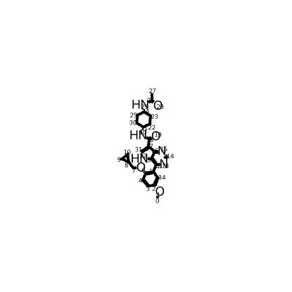 COc1ccc(OCC2CC2)c(-c2ncnc3c(C(=O)N[C@H]4CC[C@@H](NC(C)=O)CC4)c[nH]c23)c1